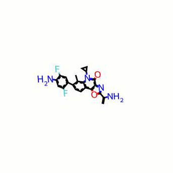 C=C(N)c1nc2c(=O)n(C3CC3)c3c(C)c(-c4cc(F)c(N)cc4F)ccc3c2o1